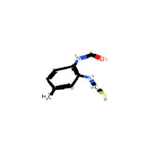 Cc1ccc(N=C=O)c(N=C=S)c1